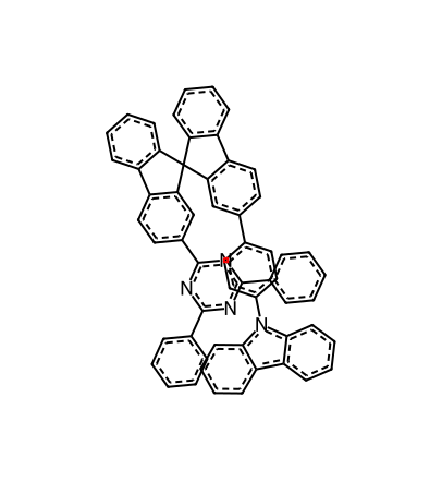 c1ccc(-c2nc(-c3ccccc3)nc(-c3ccc4c(c3)C3(c5ccccc5-c5ccc(-c6ccc(-n7c8ccccc8c8ccccc87)cc6)cc53)c3ccccc3-4)n2)cc1